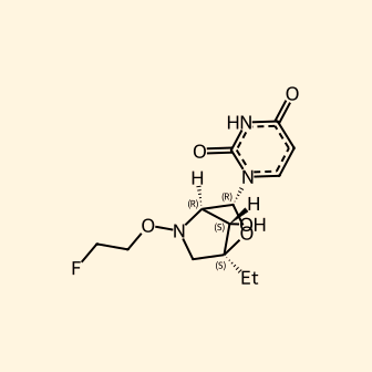 CC[C@@]12CN(OCCF)[C@@H]([C@H](n3ccc(=O)[nH]c3=O)O1)[C@@H]2O